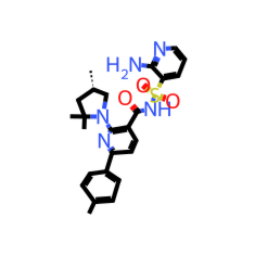 Cc1ccc(-c2ccc(C(=O)NS(=O)(=O)c3cccnc3N)c(N3C[C@@H](C)CC3(C)C)n2)cc1